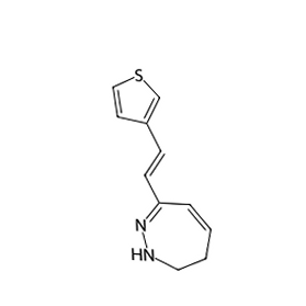 C1=CC(/C=C/c2ccsc2)=NNCC1